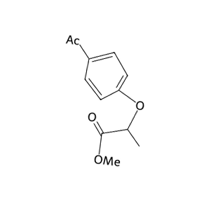 COC(=O)C(C)Oc1ccc(C(C)=O)cc1